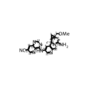 COC[C@]12C[C@H]1[C@](C)(c1cc(Nc3ncnc4cc(C#N)cnc34)cnc1F)N=C(N)S2